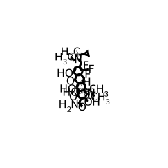 CCN(Cc1cc(O)c2c(c1C(F)(F)F)C[C@H]1C[C@H]3[C@H](N(C)C)C(O)=C(C(N)=O)C(=O)[C@@]3(O)C(O)=C1C2=O)[C@H](C)C1CC1